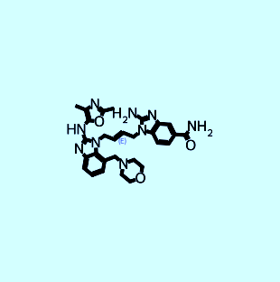 Cc1nc(C)c(Nc2nc3cccc(CN4CCOCC4)c3n2C/C=C/Cn2c(N)nc3cc(C(N)=O)ccc32)o1